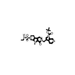 CCNS(=O)(=O)N1CCc2c(n(C)c3c(=O)n(Cc4cn(C(=O)OC(C)(C)C)c5cnccc45)ncc23)C1